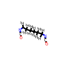 [2H]C(N=C=O)C([2H])([2H])C([2H])([2H])C([2H])([2H])C([2H])([2H])C([2H])([2H])N=C=O